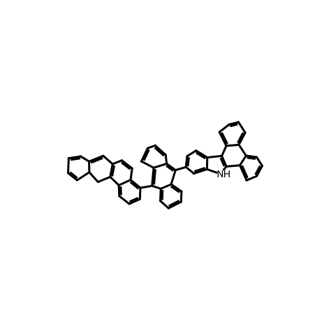 C1=CC2=Cc3ccc4c(-c5c6ccccc6c(-c6ccc7c(c6)[nH]c6c8ccccc8c8ccccc8c76)c6ccccc56)cccc4c3CC2C=C1